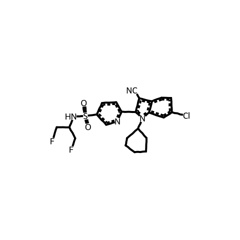 N#Cc1c(-c2ccc(S(=O)(=O)NC(CF)CF)cn2)n(C2CCCCC2)c2cc(Cl)ccc12